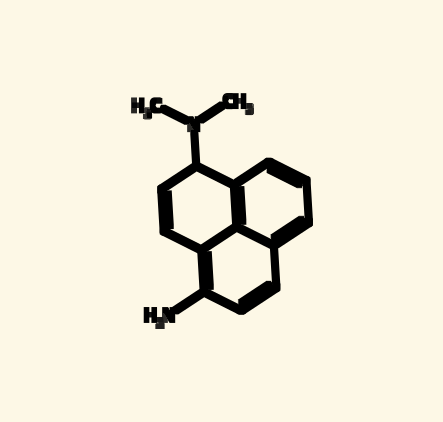 CN(C)C1C=Cc2c(N)ccc3cccc1c23